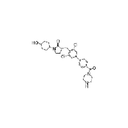 O=C(c1ccc(-c2cc(Cl)c(CC3CCN(C4CCC(O)CC4)C3=O)c(Cl)c2)cc1)N1CCNCC1